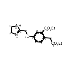 CCOC(=O)Cc1ccc(OCC2=NCCN2)cc1C(=O)OCC